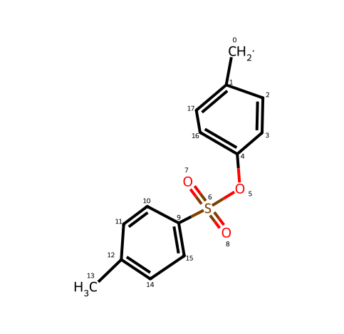 [CH2]c1ccc(OS(=O)(=O)c2ccc(C)cc2)cc1